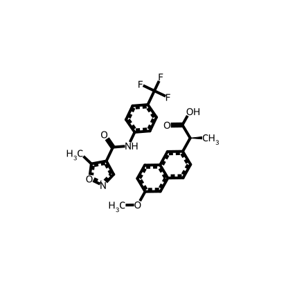 COc1ccc2cc([C@H](C)C(=O)O)ccc2c1.Cc1oncc1C(=O)Nc1ccc(C(F)(F)F)cc1